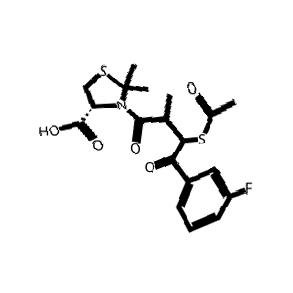 CC(=O)SC(C(=O)c1cccc(F)c1)C(C)C(=O)N1[C@H](C(=O)O)CSC1(C)C